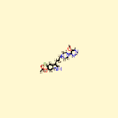 COc1cncnc1N1CCN(CCCc2c[nH]c3cc(OC(C)=O)c(F)cc23)CC1